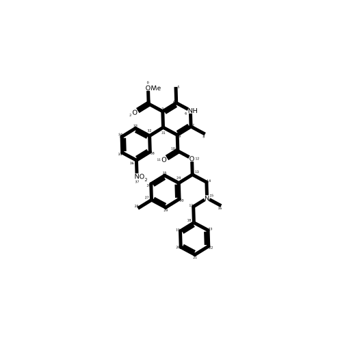 COC(=O)C1=C(C)NC(C)=C(C(=O)OC(CN(C)Cc2ccccc2)c2ccc(C)cc2)C1c1cccc([N+](=O)[O-])c1